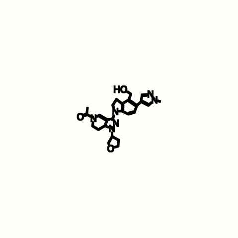 CC(=O)N1C=C2C(N3CCc4c3ccc(-c3cnn(C)c3)c4CO)=NN(C3CCOC3)C2CC1